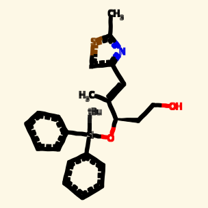 C/C(=C\c1csc(C)n1)[C@@H](CCO)O[Si](c1ccccc1)(c1ccccc1)C(C)(C)C